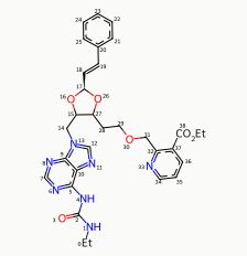 CCNC(=O)Nc1ncnc2c1ncn2CC1O[C@@H](/C=C/c2ccccc2)OC1CCOCc1ncccc1C(=O)OCC